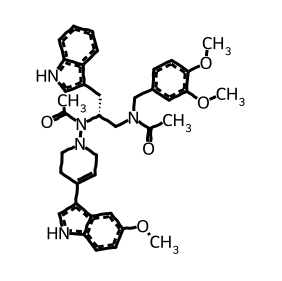 COc1ccc2[nH]cc(C3=CCN(N(C(C)=O)[C@H](Cc4c[nH]c5ccccc45)CN(Cc4ccc(OC)c(OC)c4)C(C)=O)CC3)c2c1